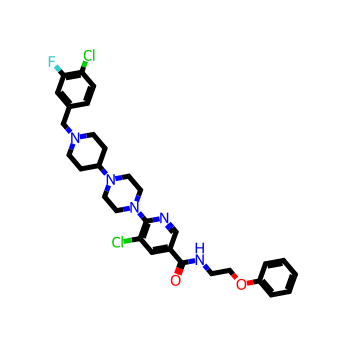 O=C(NCCOc1ccccc1)c1cnc(N2CCN(C3CCN(Cc4ccc(Cl)c(F)c4)CC3)CC2)c(Cl)c1